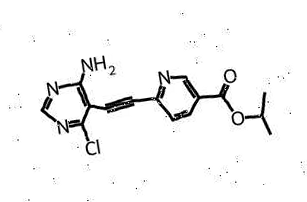 CC(C)OC(=O)c1ccc(C#Cc2c(N)ncnc2Cl)nc1